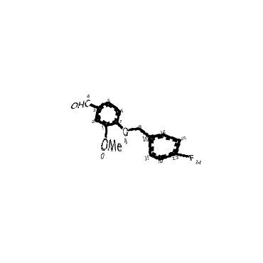 COc1cc(C=O)ccc1OCc1ccc(F)cc1